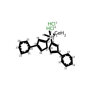 Cl.Cl.[CH3][Hf]([CH3])(=[GeH2])([C]1=CC(c2ccccc2)=CC1)[C]1=CC(c2ccccc2)=CC1